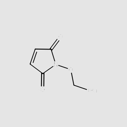 CC(C)(C)CON1C(=O)C=CC1=O